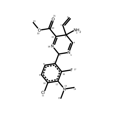 C=CC1(N)C=NC(c2ccc(Cl)c(N(C)C)c2F)N=C1C(=O)OC